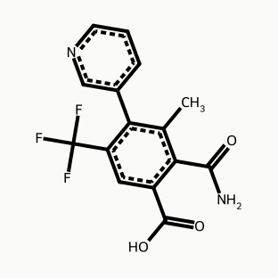 Cc1c(C(N)=O)c(C(=O)O)cc(C(F)(F)F)c1-c1cccnc1